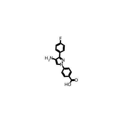 Nc1cn(-c2ccc(C(=O)O)cc2)nc1-c1ccc(F)cc1